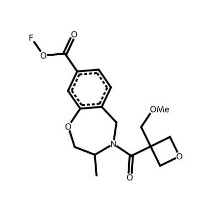 COCC1(C(=O)N2Cc3ccc(C(=O)OF)cc3OCC2C)COC1